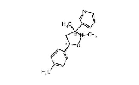 Cc1ccc([C@H]2C[C@](C)(c3cccnc3)N(C)O2)cc1